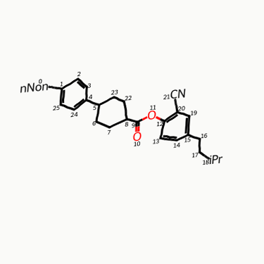 CCCCCCCCCc1ccc(C2CCC(C(=O)Oc3ccc(CCC(C)C)cc3C#N)CC2)cc1